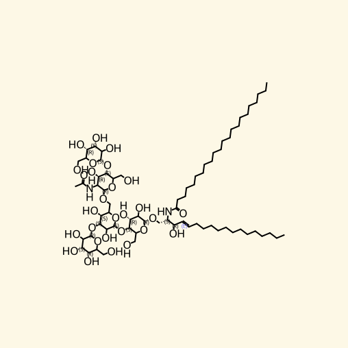 CCCCCCCCCCCCC/C=C/[C@@H](O)[C@H](CO[C@@H]1OC(CO)[C@@H](O[C@@H]2OC(CO[C@@H]3OC(CO)[C@@H](O[C@@H]4OC(CO)[C@H](O)[C@H](O)C4O)[C@H](O)C3NC(C)=O)[C@H](O)[C@H](O[C@H]3OC(CO)[C@H](O)[C@H](O)C3O)C2O)[C@H](O)C1O)NC(=O)CCCCCCCCCCCCCCCCCCCCC